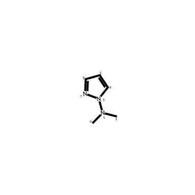 CN(C)n1cc[c]n1